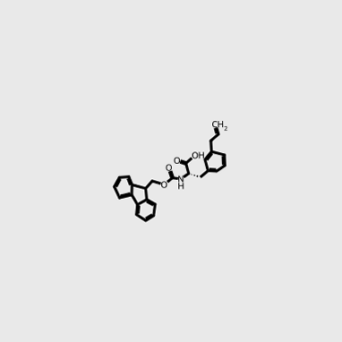 C=CCc1cccc(C[C@H](NC(=O)OCC2c3ccccc3-c3ccccc32)C(=O)O)c1